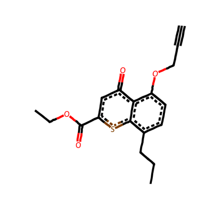 C#CCOc1ccc(CCC)c2sc(C(=O)OCC)cc(=O)c12